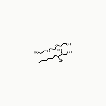 CCCCCCC(O)C(O)CO.OCCOCCOCCO